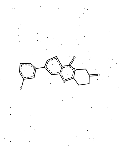 O=C1CCc2nc3cc(-c4cccc(F)c4)ccc3c(=O)n2C1